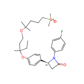 CCC(C)(CCOC(C)(C)CCC[SH](C)(C)=O)Oc1ccc([C@@H]2CC(=O)N2c2ccc(F)cc2)cc1